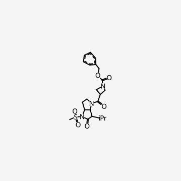 CC(C)C1C(=O)N(S(C)(=O)=O)C2CCN(C(=O)C3CN(C(=O)OCc4ccccc4)C3)C12